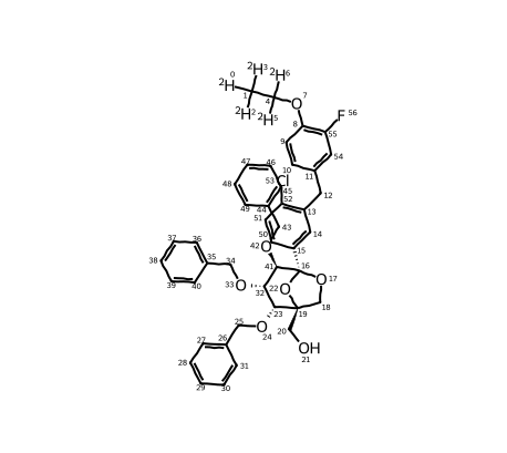 [2H]C([2H])([2H])C([2H])([2H])Oc1ccc(Cc2cc([C@]34OC[C@@](CO)(O3)[C@H](OCc3ccccc3)[C@H](OCc3ccccc3)[C@H]4OCc3ccccc3)ccc2Cl)cc1F